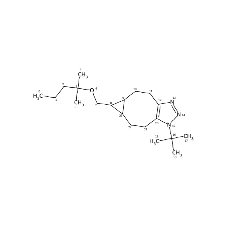 CCCC(C)(C)OCC1C2CCc3nnn(C(C)(C)C)c3CCC21